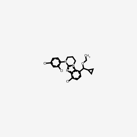 CCOC(c1ccc(Cl)c2nc3n(c12)CCCN3c1ccc(Cl)cc1Cl)C1CC1